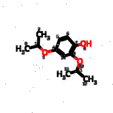 CC(C)Oc1ccc(O)c(OC(C)C)c1